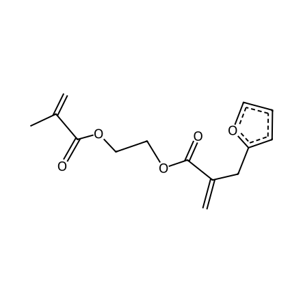 C=C(C)C(=O)OCCOC(=O)C(=C)Cc1ccco1